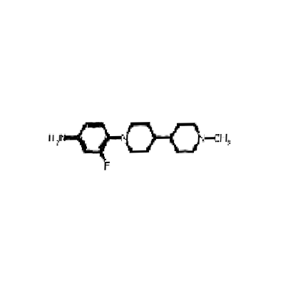 CN1CCC(C2CCN(c3ccc(N)cc3F)CC2)CC1